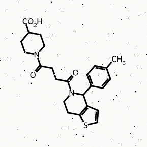 Cc1ccc(C2c3ccsc3CCN2C(=O)CCC(=O)N2CCC(C(=O)O)CC2)cc1